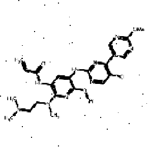 C=CC(=O)Nc1cc(Nc2ncc(Cl)c(-c3cnc(OC)nc3)n2)c(OC(C)C)nc1N(C)CCN(C)C